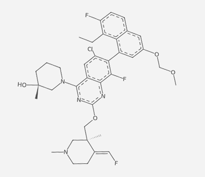 CCc1c(F)ccc2cc(OCOC)cc(-c3c(Cl)cc4c(N5CCC[C@@](C)(O)C5)nc(OC[C@]5(C)CN(C)CC/C5=C\F)nc4c3F)c12